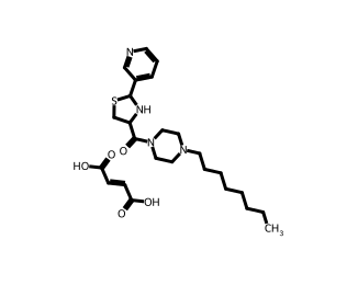 CCCCCCCCN1CCN(C(=O)C2CSC(c3cccnc3)N2)CC1.O=C(O)C=CC(=O)O